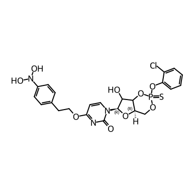 O=c1nc(OCCc2ccc(N(O)O)cc2)ccn1[C@@H]1O[C@@H]2COP(=S)(Oc3ccccc3Cl)OC2C1O